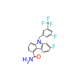 NC(=O)c1cccc2c1c1[c]cc(F)cc1n2Cc1cc(F)cc(C(F)(F)F)c1